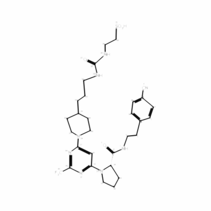 N#Cc1ccc(CCNC(=O)[C@@H]2CCCN2c2cc(N3CCC(CCCNC(=O)NCCS(=O)(=O)O)CC3)nc(C(F)(F)F)n2)cc1